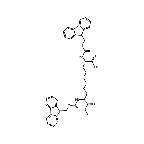 COC(=O)[C@H](CCSSCC[C@H](NC(=O)OCC1c2ccccc2-c2ccccc21)C(=O)O)NC(=O)OCC1c2ccccc2-c2ccccc21